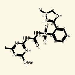 COc1nc(C)nc(NC(=O)NS(=O)(=O)c2ccccc2C2=NN(C)CO2)n1